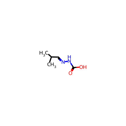 CC(C)C=NNC(=O)O